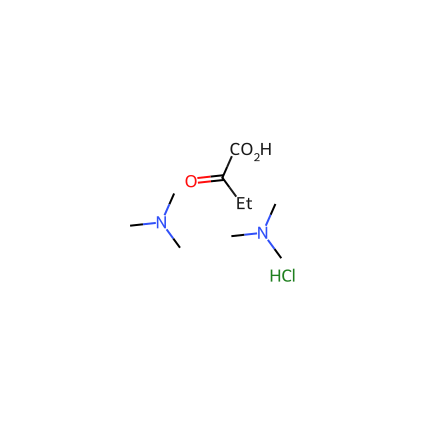 CCC(=O)C(=O)O.CN(C)C.CN(C)C.Cl